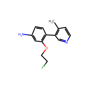 Cc1ccncc1-c1ccc(N)cc1OCCF